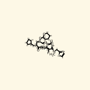 CN(Cc1nccs1)c1nc(Cl)nc(NNC(=O)[C@@H](CC2CCCC2)CN(C=O)OC2CCCCO2)c1F